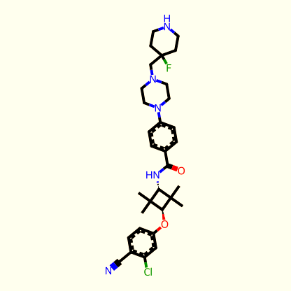 CC1(C)[C@H](NC(=O)c2ccc(N3CCN(CC4(F)CCNCC4)CC3)cc2)C(C)(C)[C@H]1Oc1ccc(C#N)c(Cl)c1